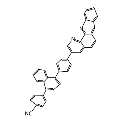 N#Cc1ccc(-c2ccc(-c3ccc(-c4cnc5c(ccc6cc7ccccc7nc65)c4)cc3)c3ccccc23)cc1